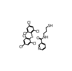 Clc1cc(Cl)c(Sc2c(Cl)cc(Cl)cc2Cl)c(Cl)c1.O=C(NCCCS)c1cccnc1